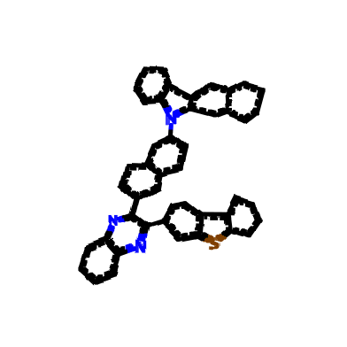 c1ccc2cc3c(cc2c1)c1ccccc1n3-c1ccc2cc(-c3nc4ccccc4nc3-c3ccc4c(c3)sc3ccccc34)ccc2c1